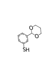 Sc1cccc(C2OCCCO2)c1